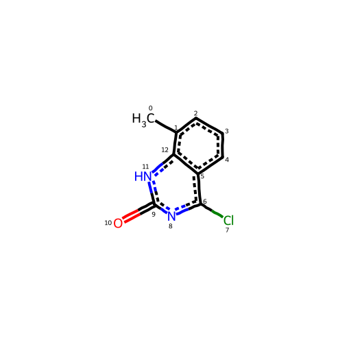 Cc1cccc2c(Cl)nc(=O)[nH]c12